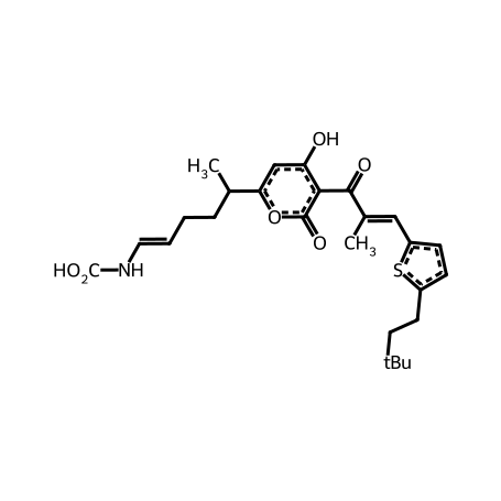 C/C(=C\c1ccc(CCC(C)(C)C)s1)C(=O)c1c(O)cc(C(C)CC/C=C/NC(=O)O)oc1=O